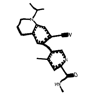 CNC(=O)c1cc(C)c(-c2cc3c(cc2C#N)N(C(C)C)CCC3)cn1